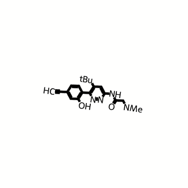 C#Cc1ccc(-c2nnc(NC(=O)CNC)cc2C(C)(C)C)c(O)c1